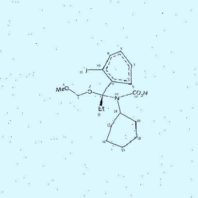 CC[C@@](OCOC)(c1ccccc1I)N(C(=O)O)C1CCCCC1